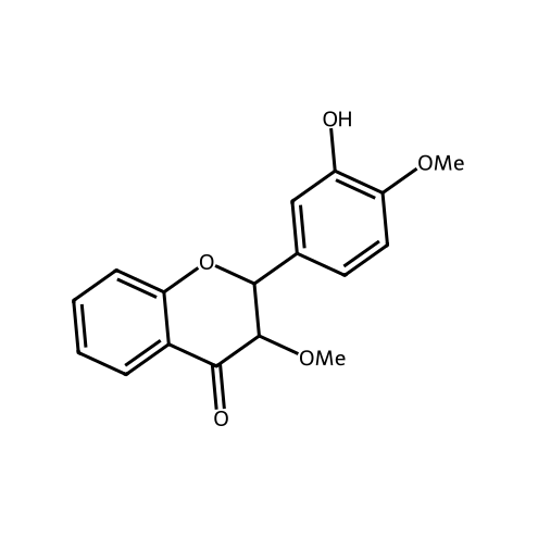 COc1ccc(C2Oc3ccccc3C(=O)C2OC)cc1O